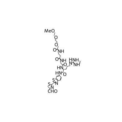 COCCOCCOCC(=O)NCCC(=O)NCC(=O)N[C@@H](CCCNC(=N)N)C(=O)Nc1ccc2nc(C3=N[C@@H](C=O)CS3)sc2c1